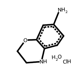 Cl.Nc1ccc2c(c1)OCCN2.O